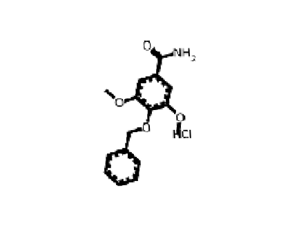 COc1cc(C(N)=O)cc(OC)c1OCc1ccccc1.Cl